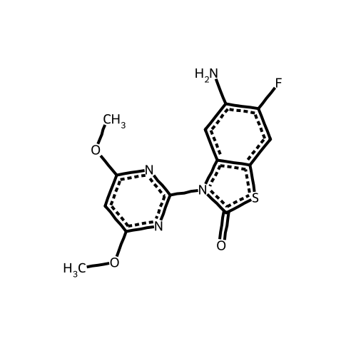 COc1cc(OC)nc(-n2c(=O)sc3cc(F)c(N)cc32)n1